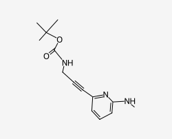 CNc1cccc(C#CCNC(=O)OC(C)(C)C)n1